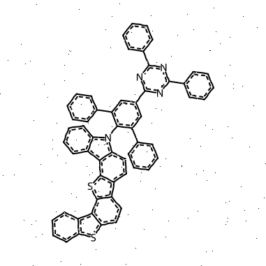 c1ccc(-c2nc(-c3ccccc3)nc(-c3cc(-c4ccccc4)c(-n4c5ccccc5c5c6sc7c(ccc8sc9ccccc9c87)c6ccc54)c(-c4ccccc4)c3)n2)cc1